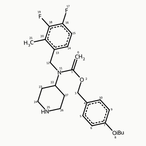 C=C(OCc1ccc(OCC(C)C)cc1)N(Cc1ccc(F)c(F)c1C)C1CCNCC1